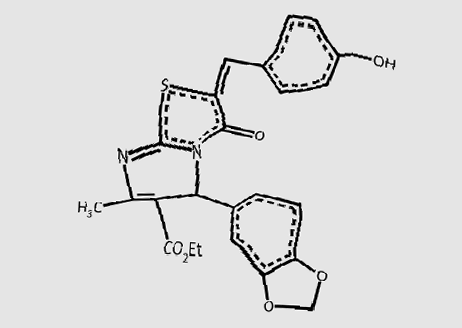 CCOC(=O)C1=C(C)N=c2sc(=Cc3ccc(O)cc3)c(=O)n2C1c1ccc2c(c1)OCO2